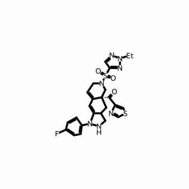 CCn1ncc(S(=O)(=O)N2CC=C3C=C4C(CNN4c4ccc(F)cc4)C[C@]3(C(=O)c3cscn3)C2)n1